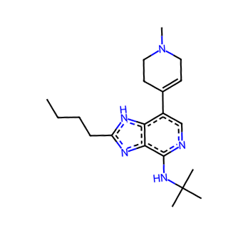 CCCCc1nc2c(NC(C)(C)C)ncc(C3=CCN(C)CC3)c2[nH]1